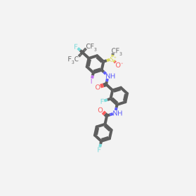 O=C(Nc1cccc(C(=O)Nc2c(I)cc(C(F)(C(F)(F)F)C(F)(F)F)cc2[S+]([O-])C(F)(F)F)c1F)c1ccc(F)cc1